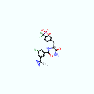 NC(=O)[C@H](Cc1ccc(C(F)(F)P(=O)(O)O)cc1)NC(=O)c1cc(Br)cc(C2(C(F)(F)F)N=N2)c1